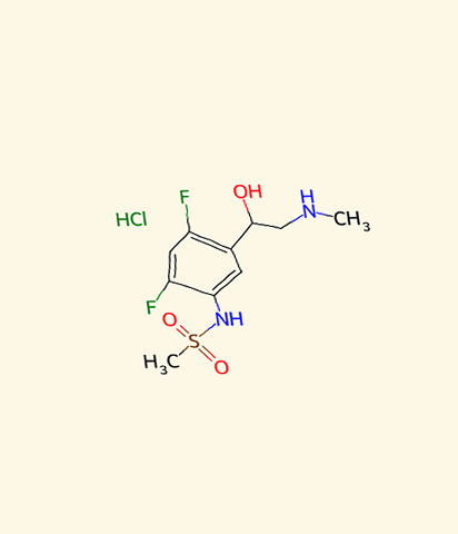 CNCC(O)c1cc(NS(C)(=O)=O)c(F)cc1F.Cl